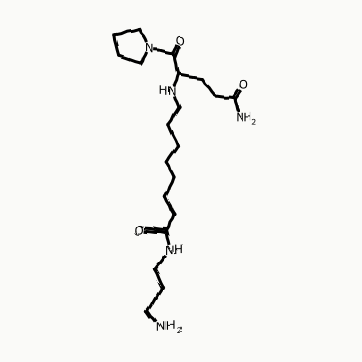 NCCCNC(=O)CCCCCCCNC(CCC(N)=O)C(=O)N1CCCC1